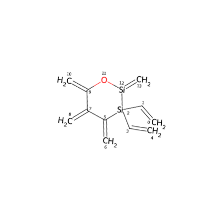 C=C[Si]1(C=C)C(=C)C(=C)C(=C)O[Si]1=C